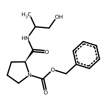 CC(CO)NC(=O)[C@@H]1CCCN1C(=O)OCc1ccccc1